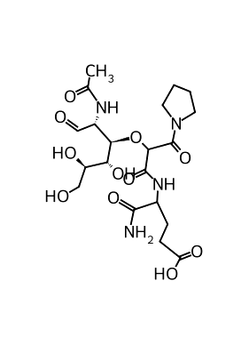 CC(=O)N[C@@H](C=O)[C@@H](OC(C(=O)NC(CCC(=O)O)C(N)=O)C(=O)N1CCCC1)[C@H](O)[C@H](O)CO